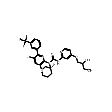 O=C(Nc1cc(OCC(O)CO)ccn1)N1c2nc(-c3cccc(C(F)(F)F)c3)c(Cl)cc2N2CCC[C@H]1C2